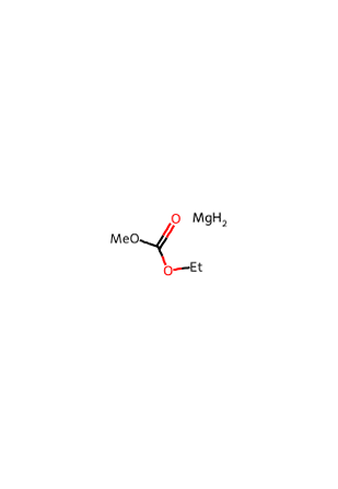 CCOC(=O)OC.[MgH2]